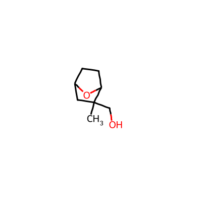 CC1(CO)CC2CCC1O2